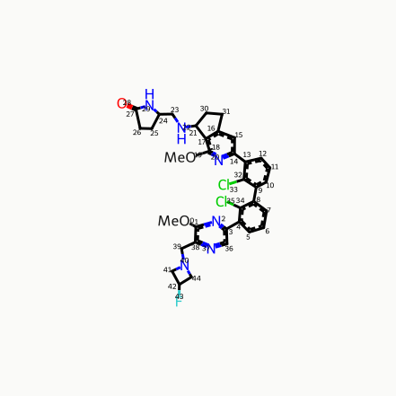 COc1nc(-c2cccc(-c3cccc(-c4cc5c(c(OC)n4)C(NCC4CCC(=O)N4)CC5)c3Cl)c2Cl)cnc1CN1CC(F)C1